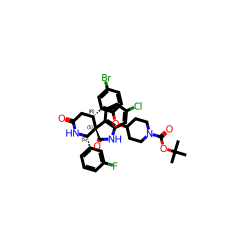 CC(C)(C)OC(=O)N1CCC(Oc2ccc(Br)cc2[C@H]2CC(=O)N[C@@H](c3cccc(F)c3)[C@]23C(=O)Nc2cc(Cl)ccc23)CC1